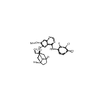 C=CC(=O)N1[C@@H]2CC[C@H]1C[C@@H](Nc1cc3c(Nc4ccc(Cl)c(Cl)c4F)ncnc3cc1OC)C2